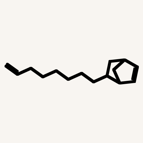 C=CCCCCCCC1CC2C=CC1C2